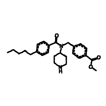 CCCCCc1ccc(C(=O)N(Cc2ccc(C(=O)OC)cc2)C2CCNCC2)cc1